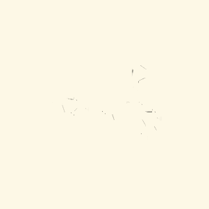 O=C(CC[C@@H]1C[C@@H](c2ccccc2)CN1c1cc(C(F)(F)F)c(=O)[nH]n1)N1CCN(c2ncc(C(F)(F)F)cn2)CC1